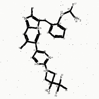 Cc1cc2nc(C)c(Cc3ccccc3OC(F)P)n2cc1-c1cnc(N2CC(O)(C(C)(F)F)C2)nc1